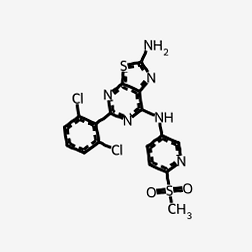 CS(=O)(=O)c1ccc(Nc2nc(-c3c(Cl)cccc3Cl)nc3sc(N)nc23)cn1